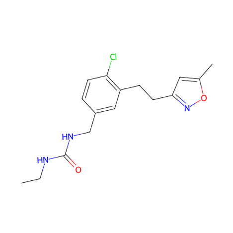 CCNC(=O)NCc1ccc(Cl)c(CCc2cc(C)on2)c1